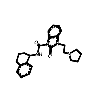 O=C(NC1CCCc2ccccc21)n1c(=O)n(CCN2CCCC2)c2ccccc21